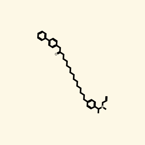 C=CCN(C)C(C)c1ccc(CCCCCCCCCCCCCCC(=O)Cc2ccc(-c3ccccc3)cc2)cc1